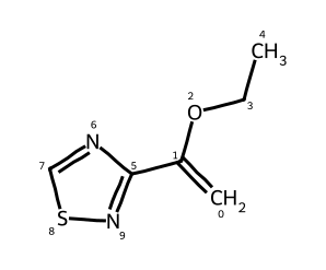 C=C(OCC)c1ncsn1